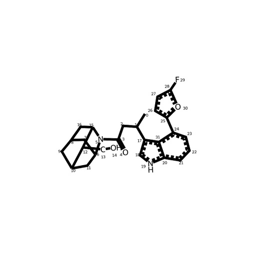 CC(CC(=O)N1C2CC3CC(C2)C(CO)C1C3)c1c[nH]c2cccc(-c3ccc(F)o3)c12